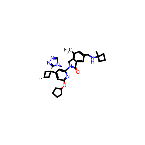 Cn1cnnc1[C@]1(c2cc(OC3CCCC3)nc(N3Cc4c(cc(CNC5(C)CCC5)cc4C(F)(F)F)C3=O)c2)C[C@H](C)C1